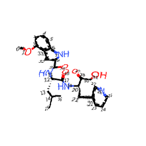 COc1cccc2[nH]c(C(=O)N[C@@H](CC(C)C)C(=O)N[C@H](Cc3cccnc3)C(=O)CO)cc12